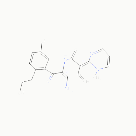 C=C/C(C(=C)N/C(=C/N)C(=N)c1cc(C)ccc1CCC)=C1/N=CC=CN1C